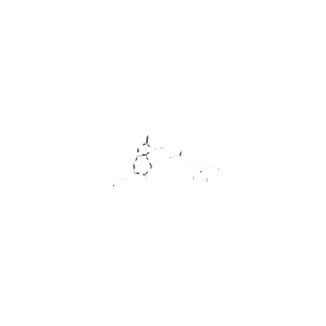 NC(CO)(CO)COC(=O)CCn1c(=O)oc2cc(OCC(F)(F)F)c(Cl)cc21